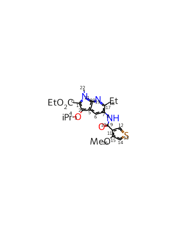 CCOC(=O)c1c(OC(C)C)c2cc(NC(=O)c3cscc3OC)c(CC)nc2n1C